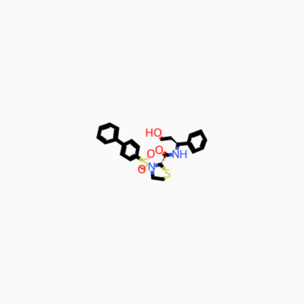 O=C(N[C@@H](CCO)c1ccccc1)[C@@H]1SCCN1S(=O)(=O)c1ccc(-c2ccccc2)cc1